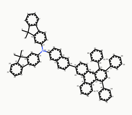 CC1(C)c2ccccc2-c2ccc(N(c3ccc4c(c3)C(C)(C)c3ccccc3-4)c3ccc4cc(-c5ccc6c(c5)c5ccccc5c5c(-c7ccccc7)cc(-c7ccccc7)c(-c7ccccc7)c65)ccc4c3)cc21